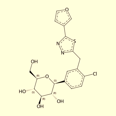 OC[C@H]1O[C@@H](c2ccc(Cl)c(Cc3nnc(-c4ccoc4)s3)c2)[C@H](O)[C@@H](O)[C@@H]1O